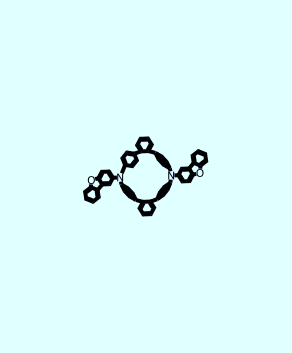 c1ccc2c(c1)-c1ccc(cc1)N(c1ccc3oc4ccccc4c3c1)c1ccc(cc1)-c1ccccc1-c1ccc(cc1)N(c1ccc3oc4ccccc4c3c1)c1ccc-2cc1